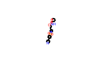 O=C(/C=C/c1ccn(S(=O)(=O)c2ccc(-c3ccncc3)cc2)c1)NOC1CCCCO1